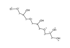 CCOCC(O)COCC(O)COCC(O)CO